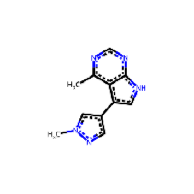 Cc1ncnc2[nH]cc(-c3cnn(C)c3)c12